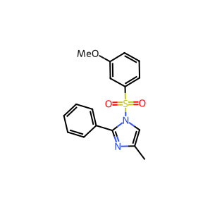 COc1cccc(S(=O)(=O)n2cc(C)nc2-c2ccccc2)c1